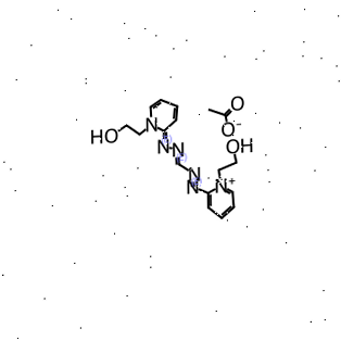 CC(=O)[O-].OCCn1cccc\c1=N/N=C/N=N/c1cccc[n+]1CCO